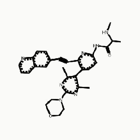 CNC(C)C(=O)Nc1ccc(-c2c(C)nc(N3CCOCC3)nc2C)c(C#Cc2ccc3ncccc3c2)n1